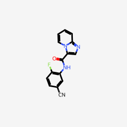 N#Cc1ccc(F)c(NC(=O)c2cnc3ccccn23)c1